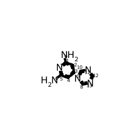 Nc1cccc(N)n1.c1ncncn1